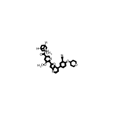 COc1cc(C(=O)N[C@@H]2[C@@H]3C[C@H]2CN(C)C3)cnc1-c1cc2nccc(-c3ccc(OC4CCOCC4)c(C#N)c3)c2o1